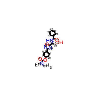 CCN(C)C(=O)Oc1ccc(-c2noc([C@H](CO)NC(=O)c3ccccc3)n2)cc1